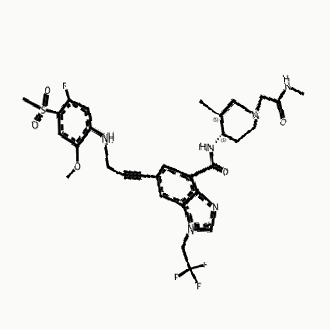 CNC(=O)CN1CC[C@H](NC(=O)c2cc(C#CCNc3cc(F)c(S(C)(=O)=O)cc3OC)cc3c2ncn3CC(F)(F)F)[C@@H](C)C1